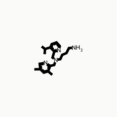 Cc1cnc(CN(CCCCN)Cc2ncccc2C(C)C)c(C)c1